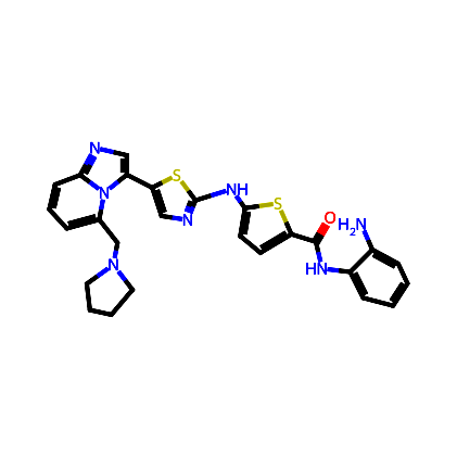 Nc1ccccc1NC(=O)c1ccc(Nc2ncc(-c3cnc4cccc(CN5CCCC5)n34)s2)s1